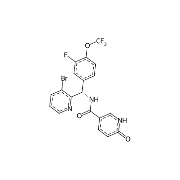 O=C(N[C@@H](c1ccc(OC(F)(F)F)c(F)c1)c1ncccc1Br)c1ccc(=O)[nH]c1